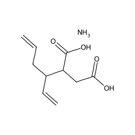 C=CCC(C=C)C(CC(=O)O)C(=O)O.N